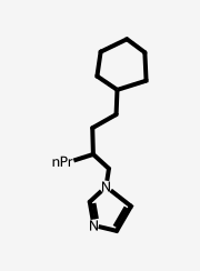 CCCC(CCC1CCCCC1)Cn1ccnc1